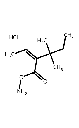 CC=C(C(=O)ON)C(C)(C)CC.Cl